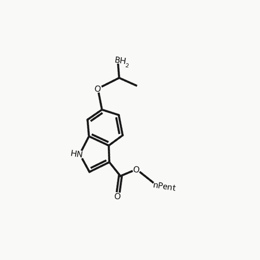 BC(C)Oc1ccc2c(C(=O)OCCCCC)c[nH]c2c1